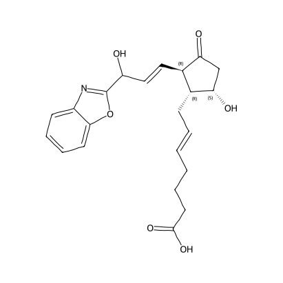 O=C(O)CCCC=CC[C@H]1[C@@H](O)CC(=O)[C@@H]1C=CC(O)c1nc2ccccc2o1